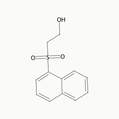 O=S(=O)(CCO)c1cccc2ccccc12